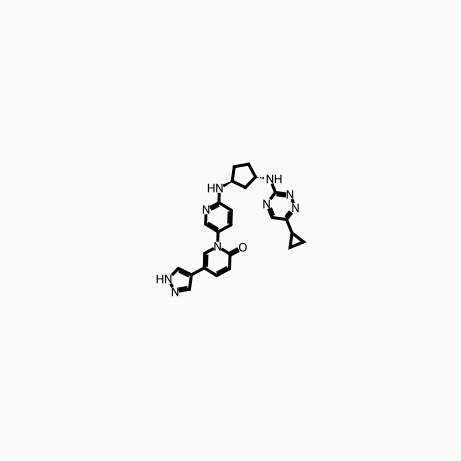 O=c1ccc(-c2cn[nH]c2)cn1-c1ccc(N[C@H]2CC[C@H](Nc3ncc(C4CC4)nn3)C2)nc1